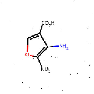 Nc1c(C(=O)O)coc1[N+](=O)[O-]